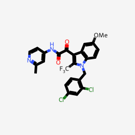 COc1ccc2c(c1)c(C(=O)C(=O)Nc1ccnc(C)c1)c(C(F)(F)F)n2Cc1ccc(Cl)cc1Cl